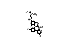 CCN1C(=O)N(c2c(F)cc(NCCN(C)C(=O)O)cc2F)c2cc(Cl)ccc2-c2cc(Cl)cnc21